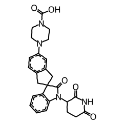 O=C1CCC(N2C(=O)C3(Cc4ccc(N5CCN(C(=O)O)CC5)cc4C3)c3ccccc32)C(=O)N1